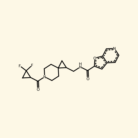 O=C(NCC1CC12CCN(C(=O)C1CC1(F)F)CC2)c1cc2ccncc2o1